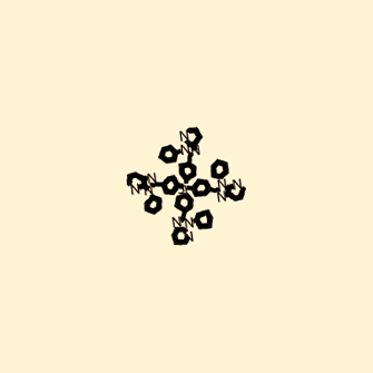 c1ccc(-n2c(-c3ccc([Si](c4ccc(-c5nc6cccnc6n5-c5ccccc5)cc4)(c4ccc(-c5nc6cccnc6n5-c5ccccc5)cc4)c4ccc(-c5nc6cccnc6n5-c5ccccc5)cc4)cc3)nc3cccnc32)cc1